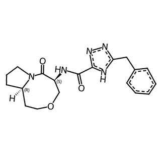 O=C(N[C@H]1COCC[C@H]2CCCN2C1=O)c1nnc(Cc2ccccc2)[nH]1